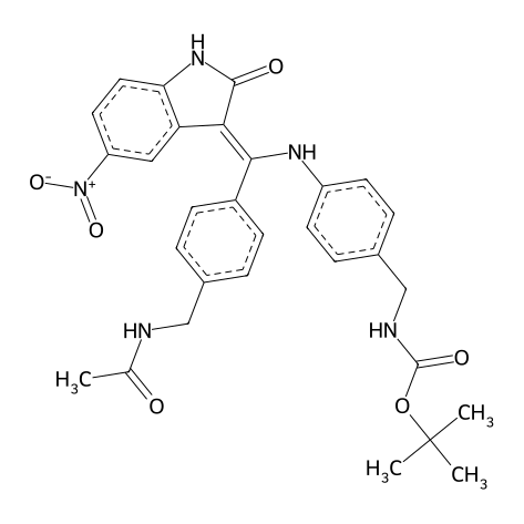 CC(=O)NCc1ccc(/C(Nc2ccc(CNC(=O)OC(C)(C)C)cc2)=C2/C(=O)Nc3ccc([N+](=O)[O-])cc32)cc1